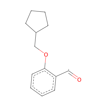 O=[C]c1ccccc1OCC1CCCC1